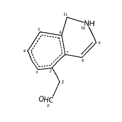 O=CCc1cccc2c1C=CNC2